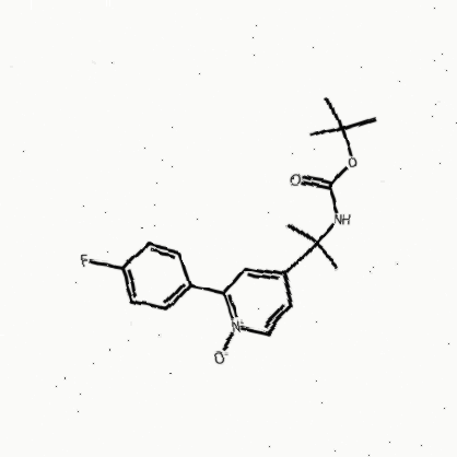 CC(C)(C)OC(=O)NC(C)(C)c1cc[n+]([O-])c(-c2ccc(F)cc2)c1